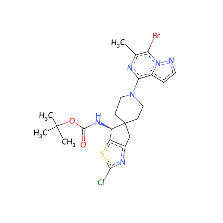 Cc1nc(N2CCC3(CC2)Cc2nc(Cl)sc2[C@H]3NC(=O)OC(C)(C)C)c2ccnn2c1Br